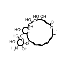 C[C@H]1/C=C/C=C/C=C/C=C/[C@H](O[C@@H]2O[C@H](C)[C@@H](O)[C@H](N)[C@@H]2O)CC2O[C@](O)(C[C@@H](O)C[C@@H](O)[C@H](O)/C=C/C(=O)O[C@@H]1C)C[C@H](O)[C@H]2C(=O)O